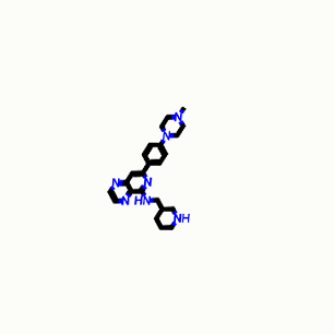 CN1CCN(c2ccc(-c3cc4nccnc4c(NCC4CCCNC4)n3)cc2)CC1